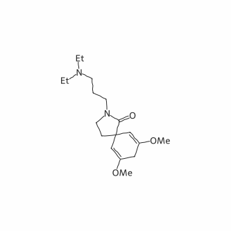 CCN(CC)CCCN1CCC2(C=C(OC)CC(OC)=C2)C1=O